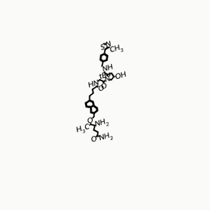 Cc1ncsc1-c1ccc(CNCC2C[C@@H](O)CN2C(=O)[C@@H](NC(=O)CCCc2ccc3cc(CO[C@H](C)[C@@H](N)CCC(N)=O)ccc3c2)C(C)(C)C)cc1